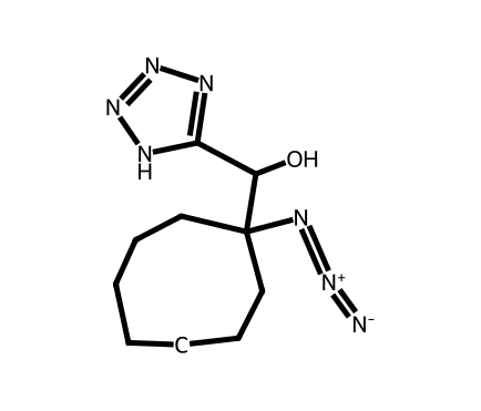 [N-]=[N+]=NC1(C(O)c2nnn[nH]2)CCCCCCC1